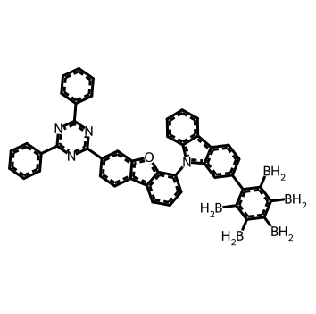 Bc1c(B)c(B)c(-c2ccc3c4ccccc4n(-c4cccc5c4oc4cc(-c6nc(-c7ccccc7)nc(-c7ccccc7)n6)ccc45)c3c2)c(B)c1B